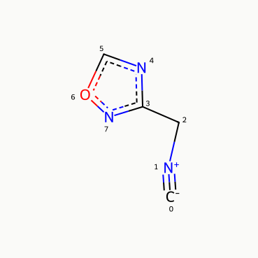 [C-]#[N+]Cc1ncon1